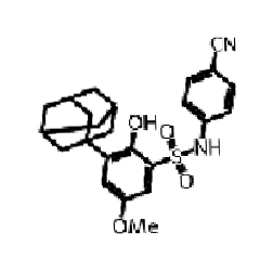 COc1cc(C23CC4CC(CC(C4)C2)C3)c(O)c(S(=O)(=O)Nc2ccc(C#N)cc2)c1